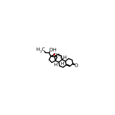 CCC(O)C12CCC3(CC1)[C@@H]1CCC4=CC(=O)CC[C@@H]4[C@H]1CC[C@]23C